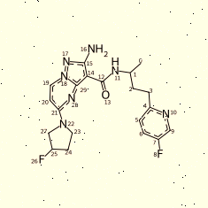 CC(CCc1ccc(F)cn1)NC(=O)c1c(N)nn2ccc(N3CCC(F)C3)nc12